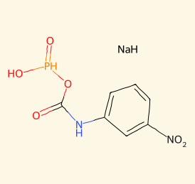 O=C(Nc1cccc([N+](=O)[O-])c1)O[PH](=O)O.[NaH]